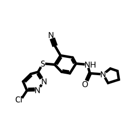 N#Cc1cc(NC(=O)N2CCCC2)ccc1Sc1ccc(Cl)nn1